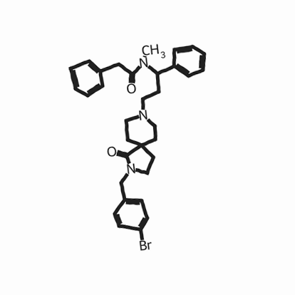 CN(C(=O)Cc1ccccc1)C(CCN1CCC2(CC1)CCN(Cc1ccc(Br)cc1)C2=O)c1ccccc1